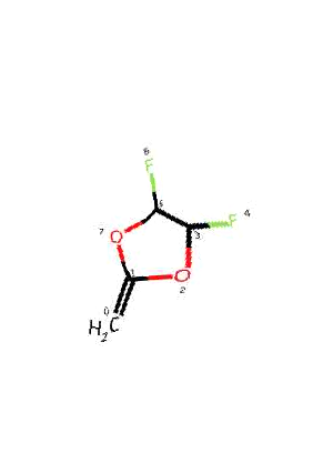 C=C1OC(F)C(F)O1